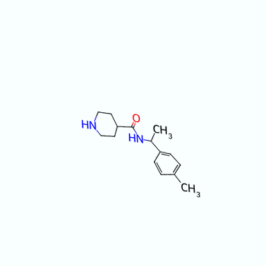 Cc1ccc(C(C)NC(=O)C2CCNCC2)cc1